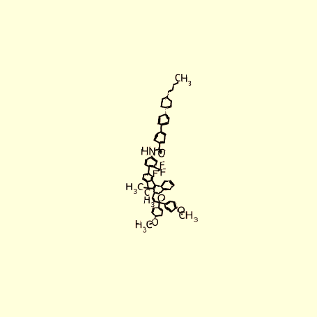 CCCCC[C@H]1CC[C@H](c2ccc(-c3ccc(C(=O)Nc4ccc(-c5ccc6c(c5)-c5c(c7c(c8ccccc58)OC(c5ccc(OC)cc5)(c5ccc(OC)cc5)C=C7)C6(C)C)c(C(F)(F)F)c4)cc3)cc2)CC1